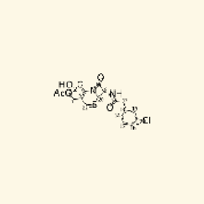 CC(=O)OCC1=C(C(=O)O)N2C(=O)C(NC(=O)Cc3cccc(Cl)c3)C2SC1